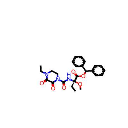 CCN1CCN(C(=O)N[C@@](CC)(OC)C(=O)OC(c2ccccc2)c2ccccc2)C(=O)C1=O